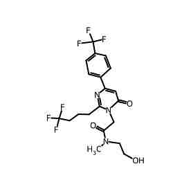 CN(CCO)C(=O)Cn1c(CCCC(F)(F)F)nc(-c2ccc(C(F)(F)F)cc2)cc1=O